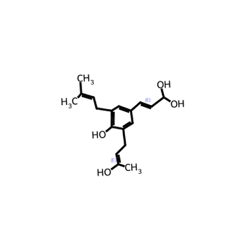 CC(C)=CCc1cc(/C=C/C(O)O)cc(C/C=C(\C)O)c1O